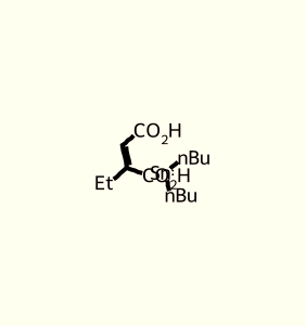 CCC(=CC(=O)O)C(=O)O.CCC[CH2][Sn][CH2]CCC